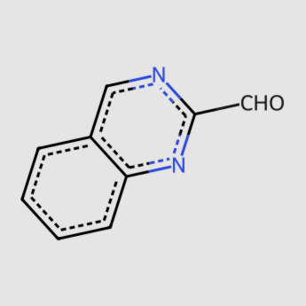 O=Cc1ncc2ccccc2n1